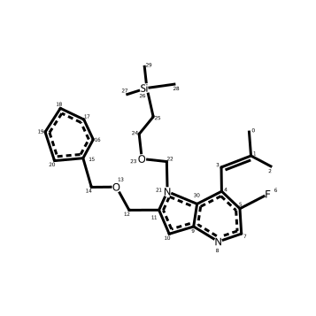 CC(C)=Cc1c(F)cnc2cc(COCc3ccccc3)n(COCC[Si](C)(C)C)c12